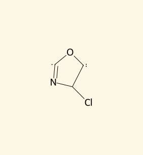 ClC1[C]O[C]=N1